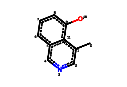 Cc1cncc2cccc([O])c12